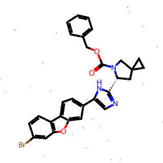 O=C(OCc1ccccc1)N1CC2(CC2)C[C@@H]1c1ncc(-c2ccc3c(c2)oc2cc(Br)ccc23)[nH]1